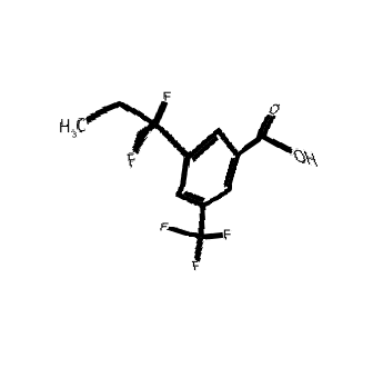 CCC(F)(F)c1cc(C(=O)O)cc(C(F)(F)F)c1